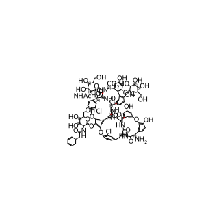 CC(=O)N[C@H]1C(O)[C@H](O)C(CO)O[C@H]1O[C@@H]1c2ccc(c(Cl)c2)Oc2cc3cc(c2O[C@@H]2OC(CO)[C@@H](O)[C@H](O)C2NC(=O)Cc2ccccc2)Oc2ccc(cc2Cl)C[C@H]2NC(=O)[C@H](N)c4ccc(O)c(c4)Oc4cc(O)cc(c4)[C@H](NC2=O)C(=O)N[C@H]3C(=O)N[C@H]2C(=O)N[C@@H]1C(=O)N[C@H](C(=O)O)c1cc(O)cc(O[C@H]3OC(CO)[C@@H](O)[C@@H](O)C3O)c1-c1cc2ccc1O